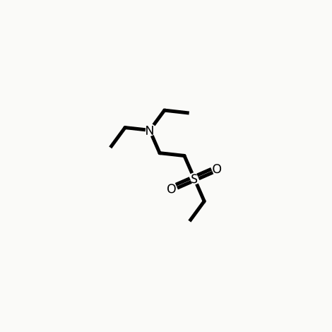 CCN(CC)CCS(=O)(=O)CC